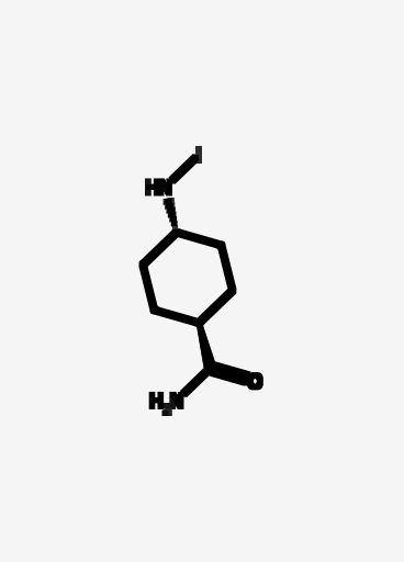 NC(=O)[C@H]1CC[C@H](NI)CC1